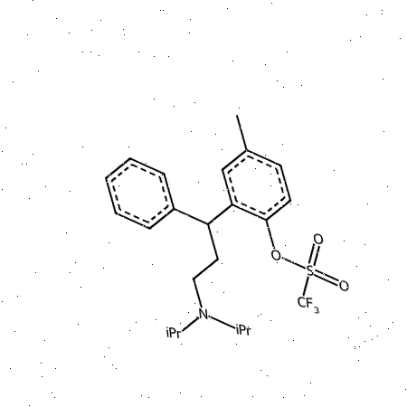 Cc1ccc(OS(=O)(=O)C(F)(F)F)c(C(CCN(C(C)C)C(C)C)c2ccccc2)c1